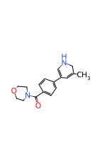 CC1=CC(c2ccc(C(=O)N3CCOCC3)cc2)=CNC1